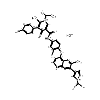 Cc1nc2c(Oc3ccc(NC(=O)c4cn(C(C)C)c(C)c(-c5ccc(F)cc5)c4=O)cc3F)ccnc2cc1-c1cnn(C(F)F)c1.Cl